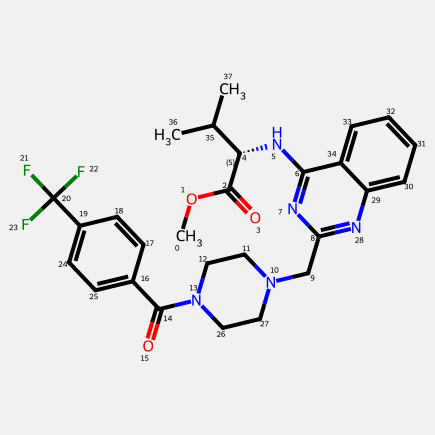 COC(=O)[C@@H](Nc1nc(CN2CCN(C(=O)c3ccc(C(F)(F)F)cc3)CC2)nc2ccccc12)C(C)C